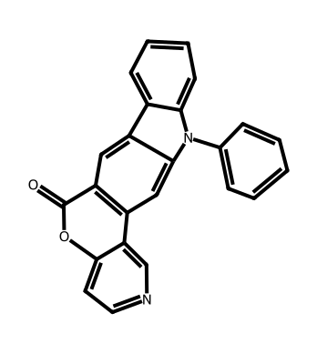 O=c1oc2ccncc2c2cc3c(cc12)c1ccccc1n3-c1ccccc1